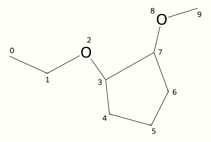 CCOC1CCCC1OC